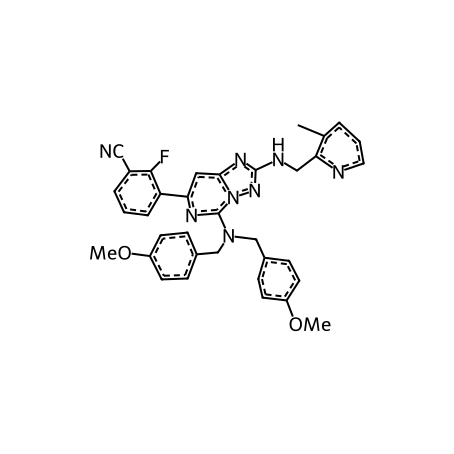 COc1ccc(CN(Cc2ccc(OC)cc2)c2nc(-c3cccc(C#N)c3F)cc3nc(NCc4ncccc4C)nn23)cc1